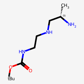 C[C@H](N)CNCCNC(=O)OC(C)(C)C